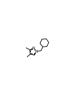 Cc1cn(CC2CCCCC2)nc1C